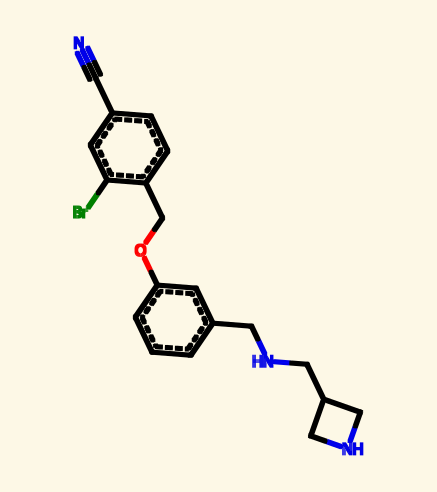 N#Cc1ccc(COc2cccc(CNCC3CNC3)c2)c(Br)c1